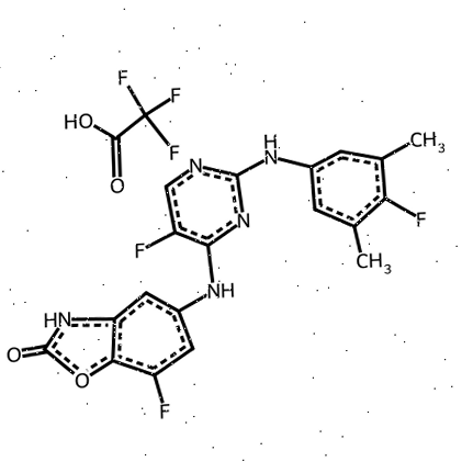 Cc1cc(Nc2ncc(F)c(Nc3cc(F)c4oc(=O)[nH]c4c3)n2)cc(C)c1F.O=C(O)C(F)(F)F